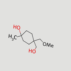 COCC1(CO)CCC(C)(O)CC1